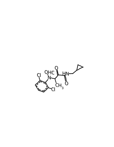 CC(C(=O)C(=O)NCC1CC1)N(C=O)c1c(Cl)cccc1Cl